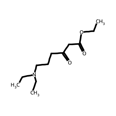 CCOC(=O)CC(=O)CCCN(CC)CC